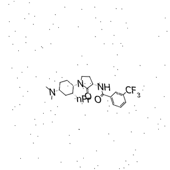 CCC[C@@H]1C[C@H](N(C)C)CC[C@@H]1N1CC[C@H](NC(=O)c2cccc(C(F)(F)F)c2)C1=O